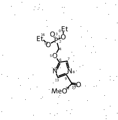 CCOP(=O)(COc1cnc(C(=O)OC)cn1)OCC